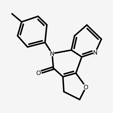 Cc1ccc(-n2c(=O)c3c(c4ncccc42)OCC3)cc1